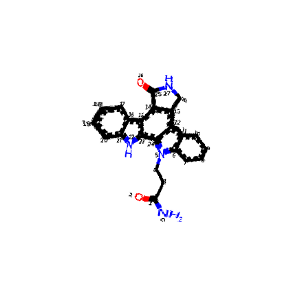 NC(=O)CCn1c2ccccc2c2c3c(c4c5ccccc5[nH]c4c21)C(=O)NC3